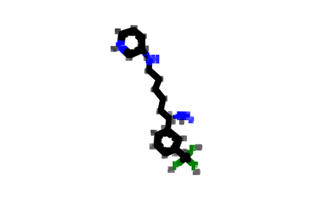 N[C@@H](CCCCCNc1cccnc1)c1cccc(C(F)(F)F)c1